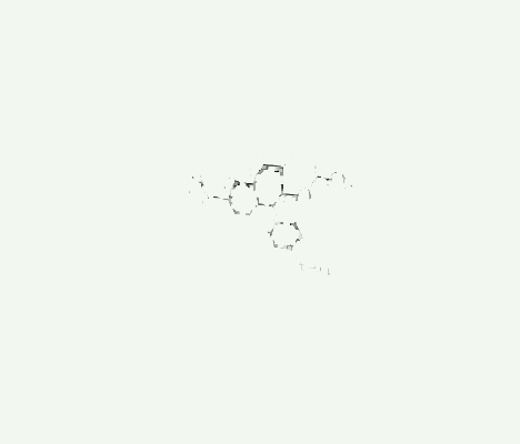 CC(C)(C)c1ccc(-c2c(OCC#N)ccc3cc(CN)ccc23)cc1